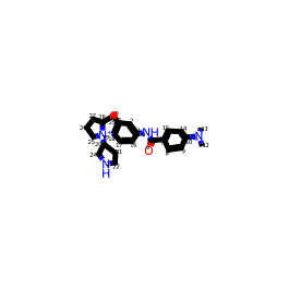 Cc1cc(NC(=O)c2ccc(N(C)C)cc2)ccc1[N+]1(C2CCNC2)CCCC1C